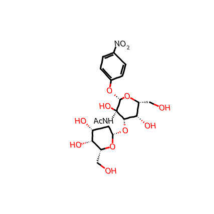 CC(=O)N[C@]1(O)[C@H](Oc2ccc([N+](=O)[O-])cc2)O[C@H](CO)[C@H](O)[C@@H]1O[C@H]1C[C@@H](O)[C@@H](O)[C@@H](CO)O1